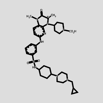 C[C@@H]1C(=O)N(C)c2ccc(Nc3cccc(S(=O)(=O)NC4CCC(N5CCN(CC6CC6)CC5)CC4)c3)nc2N1C1CCN(C(=O)O)CC1